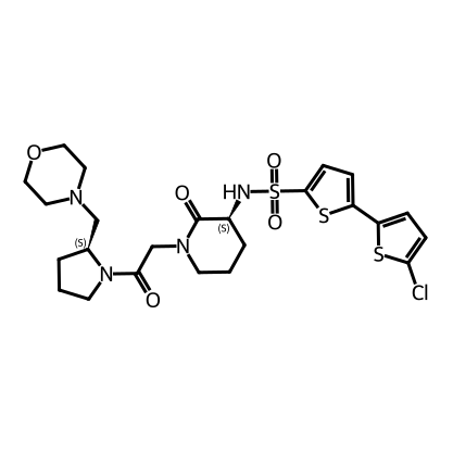 O=C1[C@@H](NS(=O)(=O)c2ccc(-c3ccc(Cl)s3)s2)CCCN1CC(=O)N1CCC[C@H]1CN1CCOCC1